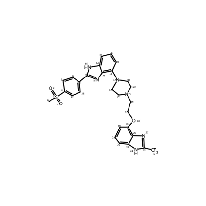 CS(=O)(=O)c1ccc(-c2nc3c(N4CCN(CCOc5cccc6[nH]c(C(F)(F)F)nc56)CC4)cccc3[nH]2)cc1